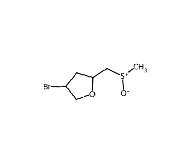 C[S+]([O-])CC1CC(Br)CO1